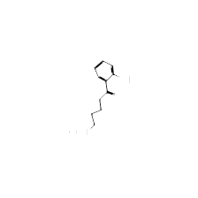 CCCCCCCCCCCCC(=O)c1ccccc1O